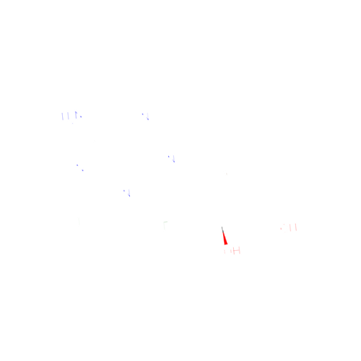 Nc1nc(F)nc2c1ncn2[C@@H]1S[C@H](CO)[C@@H](O)[C@@H]1F